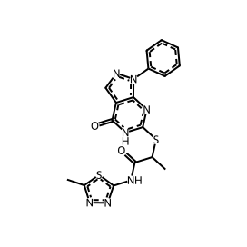 Cc1nnc(NC(=O)C(C)Sc2nc3c(cnn3-c3ccccc3)c(=O)[nH]2)s1